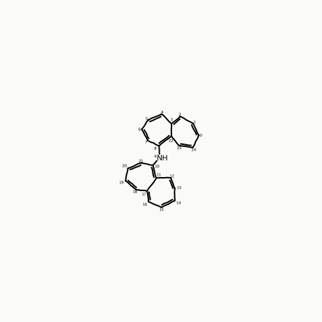 C1=CC=C2C=CC=CC(NC3=C4C=CC=CC=C4C=CC=C3)=C2C=C1